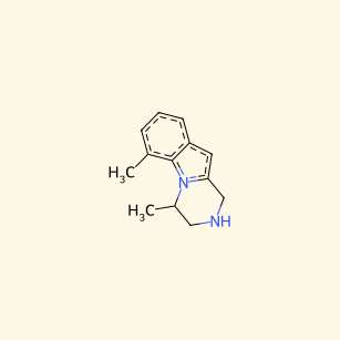 Cc1cccc2cc3n(c12)C(C)CNC3